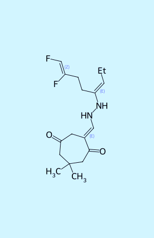 CC/C=C(\CC/C(F)=C/F)NN/C=C1\CC(=O)CC(C)(C)CC1=O